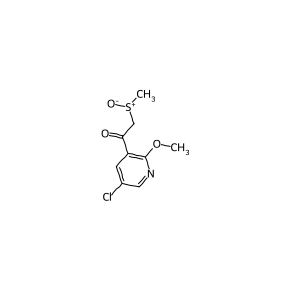 COc1ncc(Cl)cc1C(=O)C[S+](C)[O-]